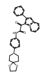 O=C(Nc1ccc(N2CCC3(CC2)OCCO3)cc1)C(=O)c1c(-c2ccccc2)cc2ccccn12